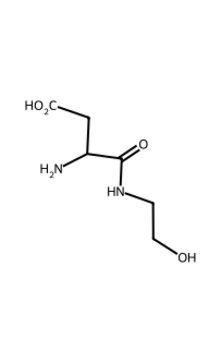 NC(CC(=O)O)C(=O)NCCO